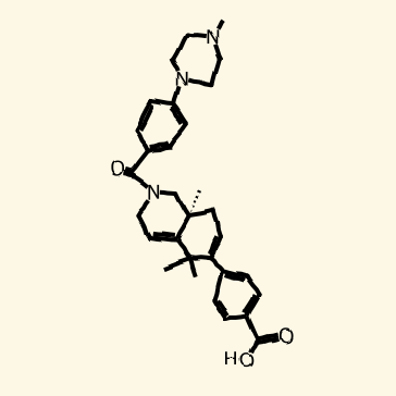 CN1CCN(c2ccc(C(=O)N3CC=C4C(C)(C)C(c5ccc(C(=O)O)cc5)=CC[C@]4(C)C3)cc2)CC1